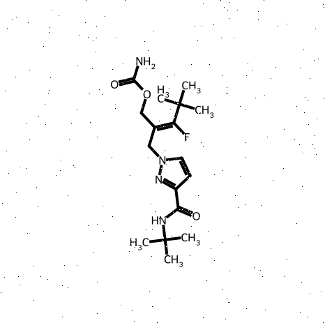 CC(C)(C)NC(=O)c1ccn(CC(COC(N)=O)=C(F)C(C)(C)C)n1